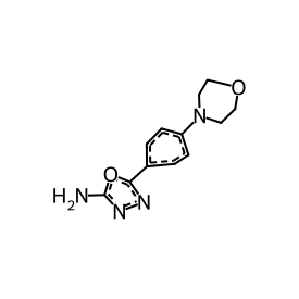 Nc1nnc(-c2ccc(N3CCOCC3)cc2)o1